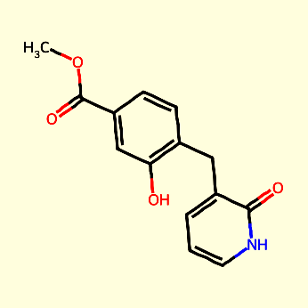 COC(=O)c1ccc(Cc2ccc[nH]c2=O)c(O)c1